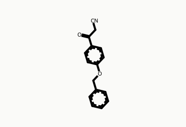 N#CCC(=O)c1ccc(OCc2ccccc2)cc1